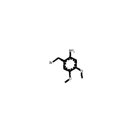 Bc1cc(OC)c(OC)cc1CBr